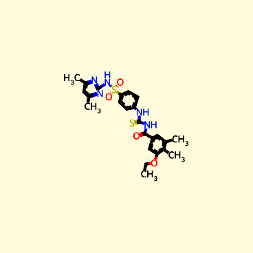 CCOc1cc(C(=O)NC(=S)Nc2ccc(S(=O)(=O)Nc3nc(C)cc(C)n3)cc2)cc(C)c1C